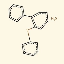 S.c1ccc(Sc2ccccc2-c2ccccc2)cc1